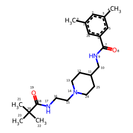 Cc1cc(C)cc(C(=O)NCC2CCN(CCNC(=O)C(C)(C)C)CC2)c1